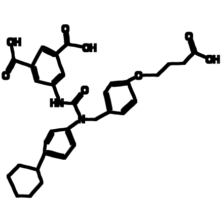 O=C(O)CCCOc1ccc(CN(C(=O)Nc2cc(C(=O)O)cc(C(=O)O)c2)c2ccc(C3CCCCC3)cc2)cc1